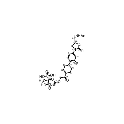 CC(=O)NC[C@H]1CN(c2ccc(N3CCN(C(=O)COC(=O)OC(C)(P(=O)(O)O)P(=O)(O)O)CC3)c(F)c2)C(=O)O1